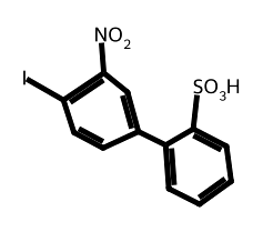 O=[N+]([O-])c1cc(-c2ccccc2S(=O)(=O)O)ccc1I